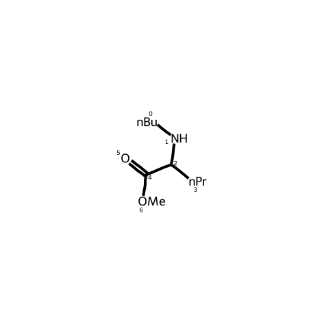 CCCCNC(CCC)C(=O)OC